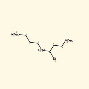 CCCCCCCCCCCCCNC(CC)CCCCCCCCCCCC